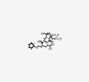 CCN(CC)CCN(CCSc1ccccc1)C(=N)N(CCN(CC)CC)OC(=O)CC(O)(CC(=O)O)C(=O)O